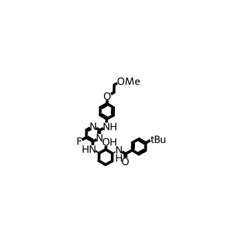 COCCOc1ccc(Nc2ncc(F)c(N[C@@H]3CCC[C@@H](NC(=O)c4ccc(C(C)(C)C)cc4)C3O)n2)cc1